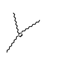 CCCCCCCCCCCC1N(CCCCCCCCCC)C=CN1CCCCCCCCCCC